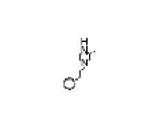 CC1CN(CC=Cc2ccccc2)CCN1